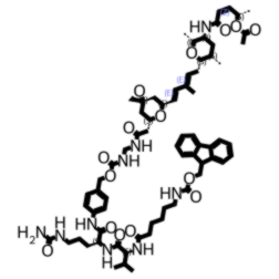 CC(=O)O[C@@H](C)/C=C\C(=O)N[C@@H]1C[C@H](C)[C@H](C/C=C(C)/C=C/[C@@H]2C[C@]3(CO3)C[C@@H](CC(=O)NCNC(=O)OCc3ccc(NC(=O)[C@H](CCCNC(N)=O)NC(=O)[C@@H](NC(=O)CCCCCNC(=O)OCC4c5ccccc5-c5ccccc54)C(C)C)cc3)O2)O[C@@H]1C